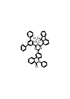 CC1(C)c2ccccc2-c2cccc(-c3nc(-c4cc(-c5ccccc5)cc(-c5ccccc5)c4)nc(-c4ccc5c(c4)c4ccccc4c(=O)n5-c4ccccc4)n3)c21